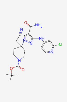 CC(C)(C)OC(=O)N1CCC(CC#N)(n2cc(C(N)=O)c(Nc3ccnc(Cl)c3)n2)CC1